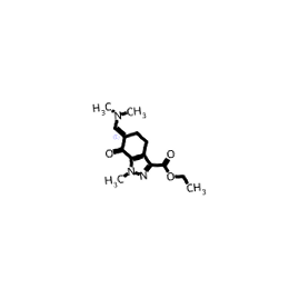 CCOC(=O)c1nn(C)c2c1CC/C(=C\N(C)C)C2=O